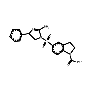 COC(=O)N1CCc2cc(S(=O)(=O)N3CC(c4ccccc4)N=C3N)ccc21